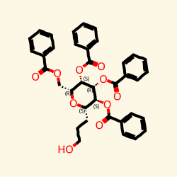 O=C(OC[C@H]1O[C@@H](CCCO)[C@H](OC(=O)c2ccccc2)[C@@H](OC(=O)c2ccccc2)[C@H]1OC(=O)c1ccccc1)c1ccccc1